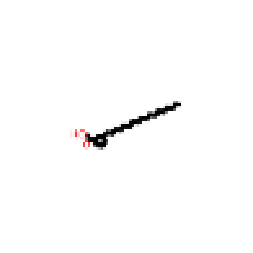 CCCCCCCCCCCCCCCCCCc1cccc(C(=O)CO)c1